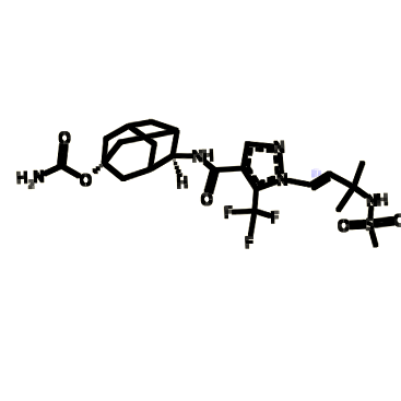 CC(C)(/C=C/n1ncc(C(=O)N[C@H]2C3CC4CC2C[C@](OC(N)=O)(C4)C3)c1C(F)(F)F)NS(C)(=O)=O